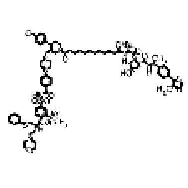 Cc1ncsc1-c1ccc([C@H](C)NC(=O)[C@@H]2C[C@@H](O)CN2C(=O)[C@@H](NC(=O)CCCCCCCCCCC(=O)N2CCC(c3ccc(Cl)cc3)=C(CN3CCN(c4ccc(C(=O)NS(=O)(=O)c5ccc(N[C@H](CCN6CCOCC6)CSc6ccccc6)c(S(=O)(=O)C(F)(F)F)c5)cc4)CC3)C2)C(C)(C)C)cc1